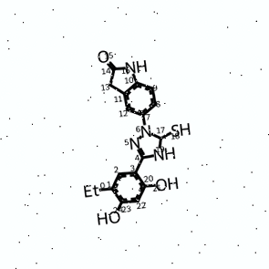 CCc1cc(C2=NN(c3ccc4c(c3)CC(=O)N4)C(S)N2)c(O)cc1O